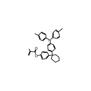 C=C(C)C(=O)Oc1ccc(C2(c3ccc(N(c4ccc(C)cc4)c4ccc(C)cc4)cc3)CCCCC2)cc1